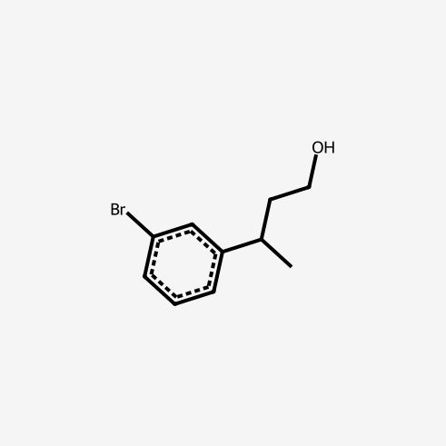 CC(CCO)c1cccc(Br)c1